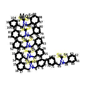 S=C([S-])N(Cc1ccccc1)Cc1ccccc1.S=C([S-])N(Cc1ccccc1)Cc1ccccc1.S=C([S-])N(Cc1ccccc1)Cc1ccccc1.S=C([S-])N(Cc1ccccc1)Cc1ccccc1.S=C([S-])N(Cc1ccccc1)Cc1ccccc1.S=C([S-])N(Cc1ccccc1)Cc1ccccc1.[Mo+6]